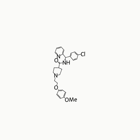 COc1ccc(OCCN2CCC(C(=O)N[C@H](c3ccc(Cl)cc3)c3ccccn3)CC2)cc1